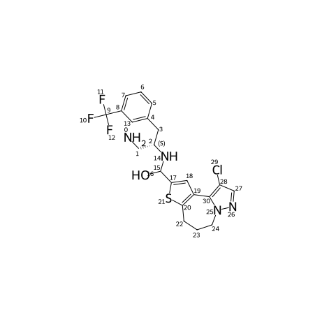 NC[C@H](Cc1cccc(C(F)(F)F)c1)NC(O)c1cc2c(s1)CCCn1ncc(Cl)c1-2